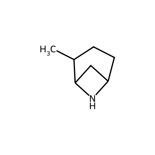 CC1CCC2CC1N2